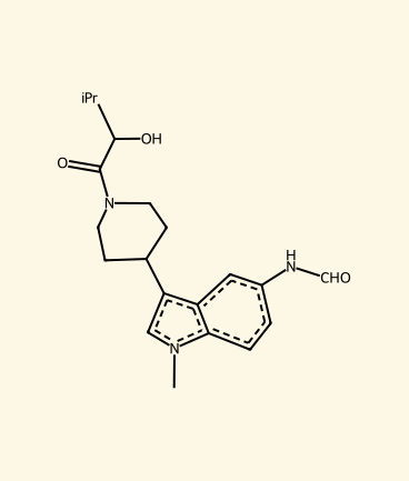 CC(C)C(O)C(=O)N1CCC(c2cn(C)c3ccc(NC=O)cc23)CC1